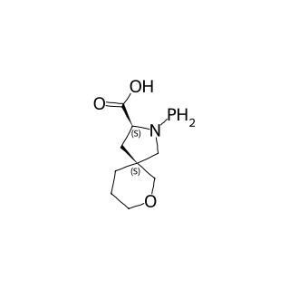 O=C(O)[C@@H]1C[C@@]2(CCCOC2)CN1P